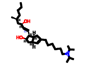 CCCC[C@H](C)C[C@H](O)/C=C/[C@@H]1[C@H]2CC(CCCCCCN(C(C)C)C(C)C)=C[C@H]2C[C@H]1O